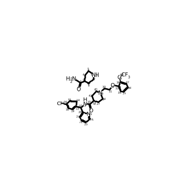 NC(=O)C1CCNCC1.O=C(NC(c1ccc(Cl)cc1)c1ccccn1)C1CCN(CCOc2ccccc2OC(F)(F)F)CC1